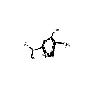 CCCN(CCC)c1cc(C#N)c(C)cn1